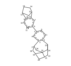 c1cc2c(cc1-c1cc3c(cn1)C1CCC3C1)C1CC3CC4CC2CC43C1